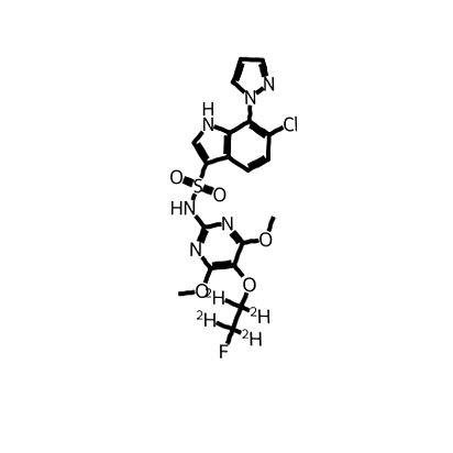 [2H]C([2H])(F)C([2H])([2H])Oc1c(OC)nc(NS(=O)(=O)c2c[nH]c3c(-n4cccn4)c(Cl)ccc23)nc1OC